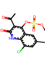 COS(=O)(=O)Oc1c(C(C)=O)c(=O)[nH]c2c(Cl)cc(C)cc12